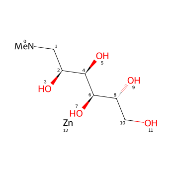 CNC[C@H](O)[C@@H](O)[C@H](O)[C@H](O)CO.[Zn]